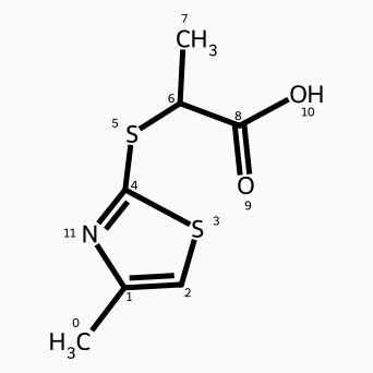 Cc1csc(SC(C)C(=O)O)n1